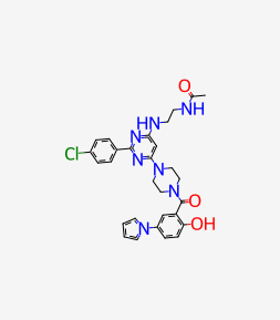 CC(=O)NCCNc1cc(N2CCN(C(=O)c3cc(-n4cccc4)ccc3O)CC2)nc(-c2ccc(Cl)cc2)n1